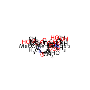 CC[C@H]1OC(=O)C[C@@H](O)[C@H](C)[C@@H](O[C@@H]2O[C@H](C)[C@@H](O[C@@]3(I)CC(C)(O)[C@@H](O)C(C)O3)C(N(C)C)C2O)[C@@H](CC=O)C[C@@H](C)C(=O)/C=C/C(C)=C/[C@@H]1CO[C@@H]1OC(C)[C@@H](O)[C@H](OC)C1OC